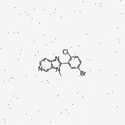 Cn1c(-c2cc(Br)ccc2Cl)nc2ccncc21